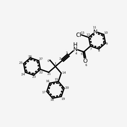 CC(C#CNC(=O)c1cccnc1Cl)(Cc1ccccc1)Cc1ccccc1